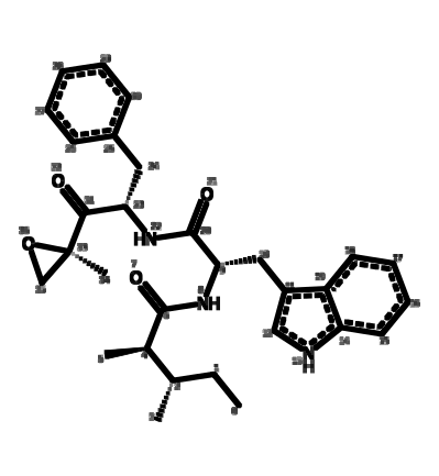 CC[C@H](C)[C@@H](C)C(=O)N[C@@H](Cc1c[nH]c2ccccc12)C(=O)N[C@@H](Cc1ccccc1)C(=O)[C@@]1(C)CO1